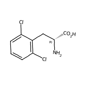 N[C@H](Cc1c(Cl)cccc1Cl)C(=O)O